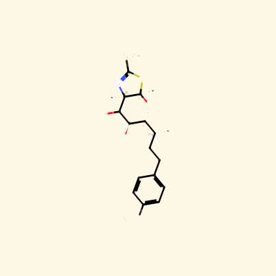 CNC1=N[C@@H]2C(O)[C@H](O)[C@@H]([C@@H](CCc3ccc(OC)cc3)C(F)(F)F)O[C@@H]2S1